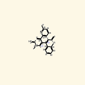 C=C/C=C(/C(=C/N(C)C=S)C(=C)c1cccc(C)n1)c1ccccc1C